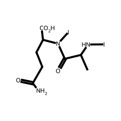 CC(NI)C(=O)N(I)C(CCC(N)=O)C(=O)O